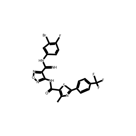 Cc1nc(-c2ccc(C(F)(F)F)cc2)sc1C(=O)Nc1nonc1C(=N)Nc1ccc(F)c(Br)c1